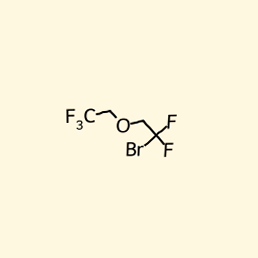 FC(F)(F)COCC(F)(F)Br